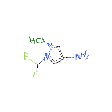 Cl.Nc1cnn(C(F)F)c1